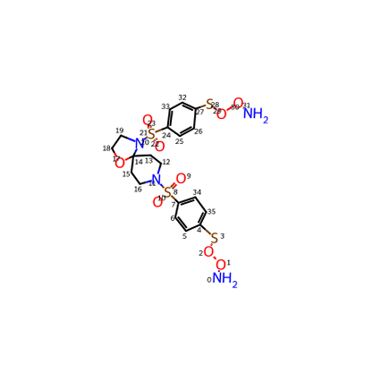 NOOSc1ccc(S(=O)(=O)N2CCC3(CC2)OCCN3S(=O)(=O)c2ccc(SOON)cc2)cc1